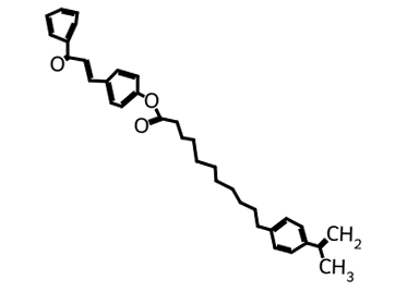 C=C(C)c1ccc(CCCCCCCCCCC(=O)Oc2ccc(C=CC(=O)c3ccccc3)cc2)cc1